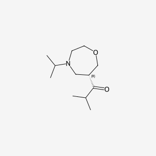 CC(C)C(=O)[C@H]1COCCN(C(C)C)C1